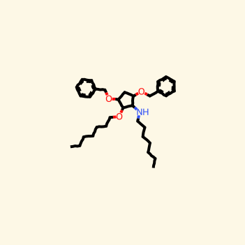 CCCCCCCNC1C(OCc2ccccc2)CC(OCc2ccccc2)C1OCCCCCCC